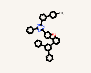 Cc1ccc(-c2cccc(-c3nc(-c4ccccc4)nc(-c4ccc5c(c4)oc4cccc(-c6cc(-c7ccccc7)cc(-c7ccccc7)c6)c45)n3)c2)cc1